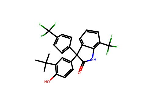 CC(C)(C)c1cc(C2(c3ccc(C(F)(F)F)cc3)C(=O)Nc3c(C(F)(F)F)cccc32)ccc1O